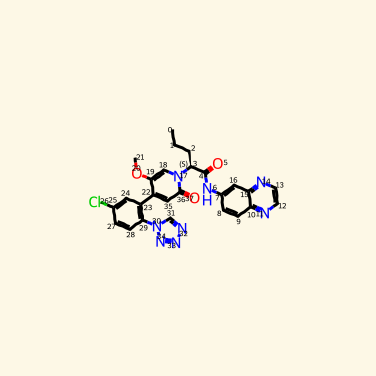 CCC[C@@H](C(=O)Nc1ccc2nccnc2c1)n1cc(OC)c(-c2cc(Cl)ccc2-n2cnnn2)cc1=O